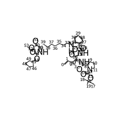 C=C[C@@H]1C[C@]1(NC(=O)[C@@H]1CCCN1C(=O)OC(C)(C)C)C(=O)NS(=O)(=O)c1ccccc1NCCCCCCC[C@H](NC(=O)OC1CCCC1)C(=O)OC